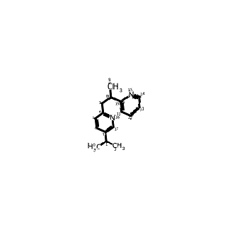 CC(C)c1ccc(CC(C)c2ccccn2)nc1